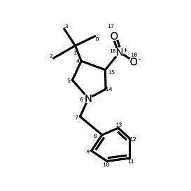 CC(C)(C)C1CN(Cc2ccccc2)CC1[N+](=O)[O-]